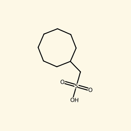 O=S(=O)(O)CC1CCCCCCC1